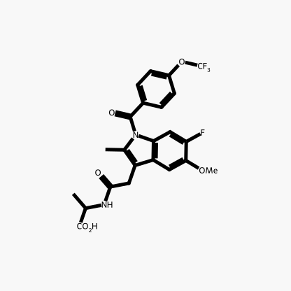 COc1cc2c(CC(=O)NC(C)C(=O)O)c(C)n(C(=O)c3ccc(OC(F)(F)F)cc3)c2cc1F